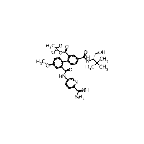 COc1ccc(-c2ccc(C(=O)N[C@H](CO)C(C)(C)C)cc2C(=O)OS(C)(=O)=O)c(C(=O)Nc2ccc(C(=N)N)nc2)c1